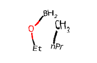 BOCC.CCCC